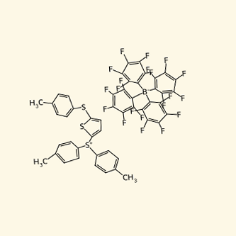 Cc1ccc(Sc2ccc([S+](c3ccc(C)cc3)c3ccc(C)cc3)s2)cc1.Fc1c(F)c(F)c([B-](c2c(F)c(F)c(F)c(F)c2F)(c2c(F)c(F)c(F)c(F)c2F)c2c(F)c(F)c(F)c(F)c2F)c(F)c1F